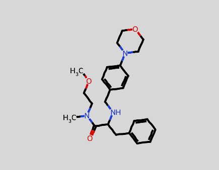 COCCN(C)C(=O)C(Cc1ccccc1)NCc1ccc(N2CCOCC2)cc1